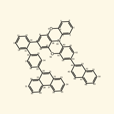 c1ccc2c(c1)Oc1cc(-c3ccccc3-c3ccc(-c4cc5ccccc5c5ccccc45)cc3)cc3c1N2c1ccc(-c2ccc4ccccc4c2)cc1O3